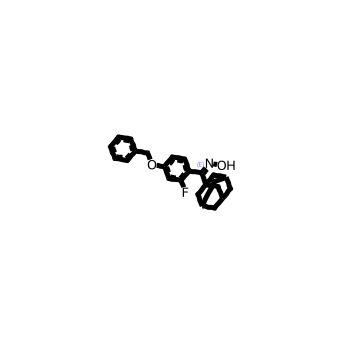 O/N=C(/c1ccc(OCc2ccccc2)cc1F)C12CC3CC(CC(C3)C1)C2